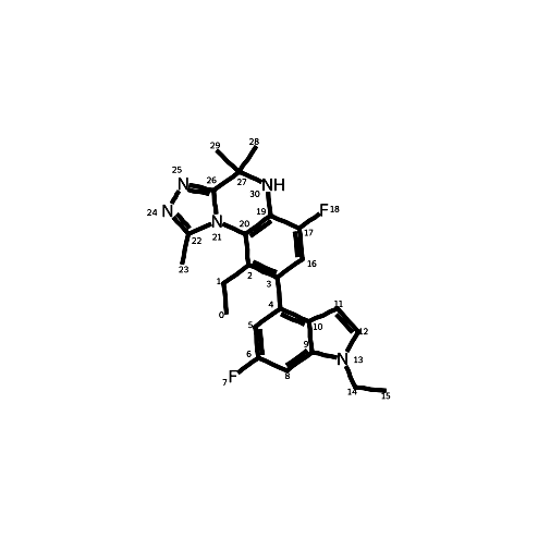 CCc1c(-c2cc(F)cc3c2ccn3CC)cc(F)c2c1-n1c(C)nnc1C(C)(C)N2